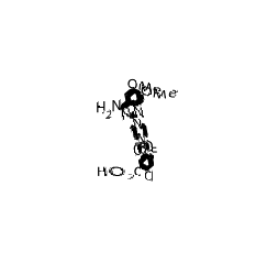 COc1cc2nc(N3CCN(S(=O)(=O)c4cc(C(=O)O)c(Cl)cc4F)CC3)nc(N)c2cc1OC